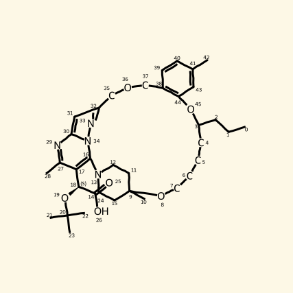 CCCC1CCCCOC2(C)CCN(CC2)c2c([C@H](OC(C)(C)C)C(=O)O)c(C)nc3cc(nn23)COCc2ccc(C)cc2O1